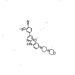 COc1cc(N2CCC(N3CCOCC3)CC2)ccc1Nc1ncc(-c2ccc(C#N)c(OSC)c2)cn1